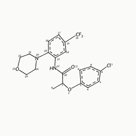 CC(Oc1ccc(Cl)cc1)C(=O)Nc1cc(C(F)(F)F)ccc1N1CCOCC1